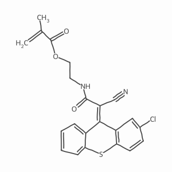 C=C(C)C(=O)OCCNC(=O)C(C#N)=C1c2ccccc2Sc2ccc(Cl)cc21